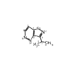 CC(C)c1nsc2ccnnc12